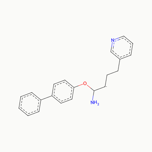 NC([CH]CCc1cccnc1)Oc1ccc(-c2ccccc2)cc1